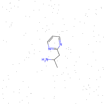 CC(N)Cc1ncccn1